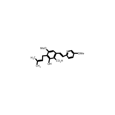 COc1ccc(/C=C/c2cc(OC)c(CC=C(C)C)c(O)c2C(=O)O)nc1